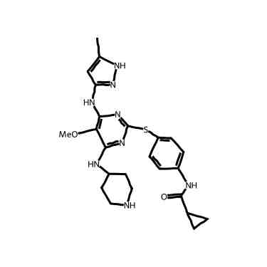 COc1c(Nc2cc(C)[nH]n2)nc(Sc2ccc(NC(=O)C3CC3)cc2)nc1NC1CCNCC1